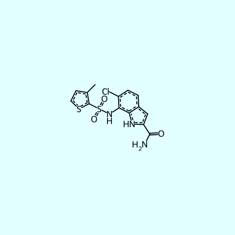 Cc1ccsc1S(=O)(=O)Nc1c(Cl)ccc2cc(C(N)=O)[nH]c12